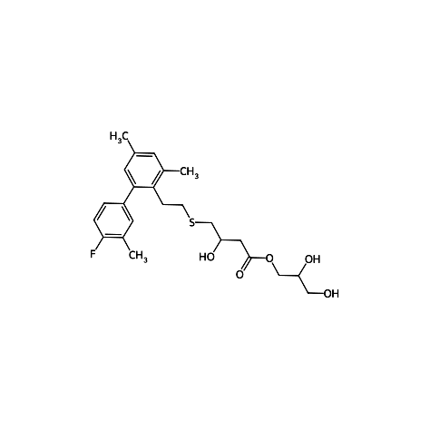 Cc1cc(C)c(CCSCC(O)CC(=O)OCC(O)CO)c(-c2ccc(F)c(C)c2)c1